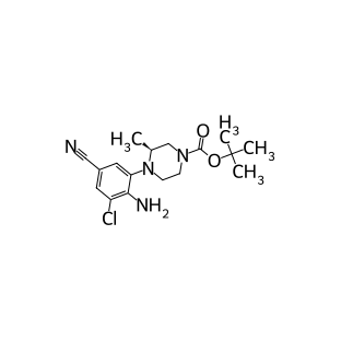 C[C@H]1CN(C(=O)OC(C)(C)C)CCN1c1cc(C#N)cc(Cl)c1N